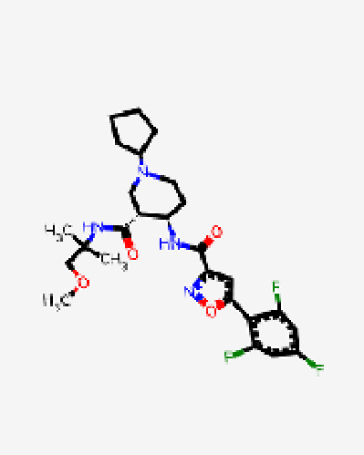 COCC(C)(C)NC(=O)[C@@H]1CN(C2CCCC2)CC[C@H]1NC(=O)c1cc(-c2c(F)cc(F)cc2F)on1